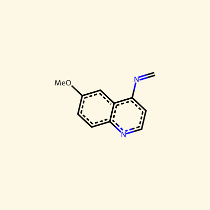 C=Nc1ccnc2ccc(OC)cc12